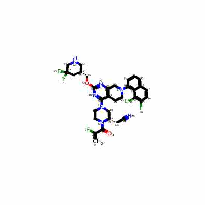 C=C(F)C(=O)N1CCN(c2nc(OC[C@H]3CNCC(F)(F)C3)nc3c2CCN(c2cccc4ccc(F)c(Cl)c24)C3)C[C@@H]1CC#N